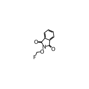 O=C1c2ccccc2C(=O)N1OCF